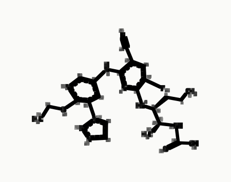 CCC[C@H](Nc1nc(Nc2cnc(OCC)c(-n3ccnn3)c2)c(C#N)cc1F)[C@H](C)NC(=O)O